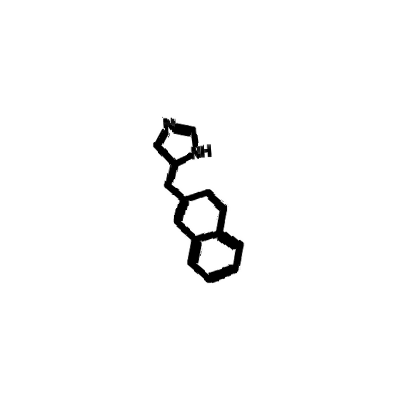 C1=NCC(CC2=Cc3ccccc3CC2)N1